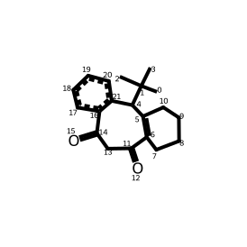 CC(C)(C)C1C2=C(CCCC2)C(=O)CC(=O)c2ccccc21